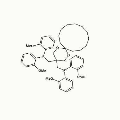 COc1ccccc1P(CC1(CP(c2ccccc2OC)c2ccccc2OC)COC2(CCCCCCCCCCC2)OC1)c1ccccc1OC